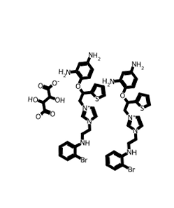 Nc1ccc(OC(C[n+]2ccn(CCNc3ccccc3Br)c2)c2cccs2)c(N)c1.Nc1ccc(OC(C[n+]2ccn(CCNc3ccccc3Br)c2)c2cccs2)c(N)c1.O=C([O-])C(O)C(O)C(=O)[O-]